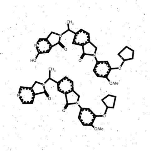 COc1ccc(N2Cc3ccc(C(C)N4Cc5cnc(O)cc5C4=O)cc3C2=O)cc1OC1CCCC1.COc1ccc(N2Cc3ccc(C(C)N4Cc5cnccc5C4=O)cc3C2=O)cc1OC1CCCC1